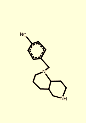 N#Cc1ccc(CN2CCCC3CNCCC32)cc1